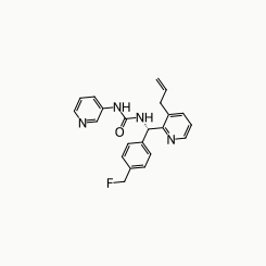 C=CCc1cccnc1[C@@H](NC(=O)Nc1cccnc1)c1ccc(CF)cc1